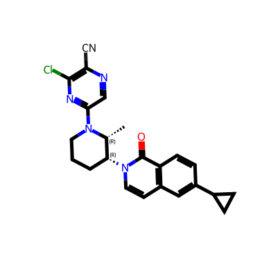 C[C@@H]1[C@H](n2ccc3cc(C4CC4)ccc3c2=O)CCCN1c1cnc(C#N)c(Cl)n1